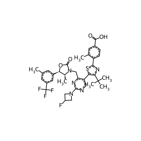 Cc1cc([C@H]2OC(=O)N(Cc3nc(N4CC(F)C4)ncc3-c3sc(-c4ccc(C(=O)O)cc4C)nc3C(C)(C)C)[C@H]2C)cc(C(F)(F)F)c1